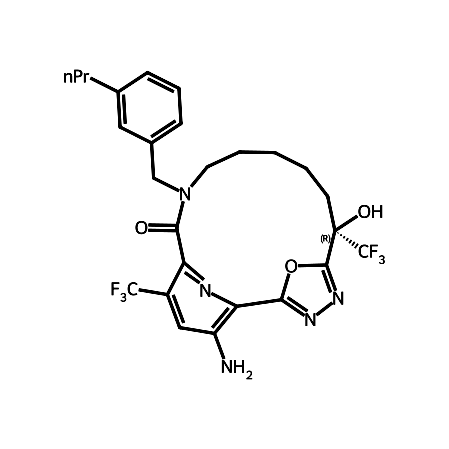 CCCc1cccc(CN2CCCCC[C@](O)(C(F)(F)F)c3nnc(o3)-c3nc(c(C(F)(F)F)cc3N)C2=O)c1